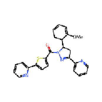 COC1=CC=CCC1C1CC(c2ccccn2)=NN1C(=O)c1ccc(-c2ccccn2)s1